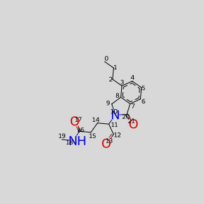 CCCc1cccc2c1CN(C(C=O)CCC(=O)NC)C2=O